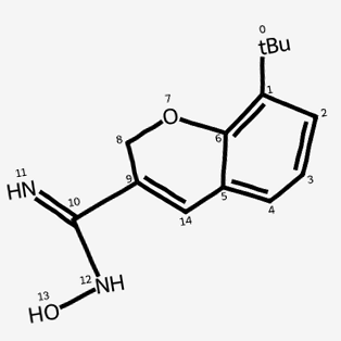 CC(C)(C)c1cccc2c1OCC(C(=N)NO)=C2